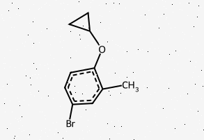 Cc1cc(Br)ccc1OC1CC1